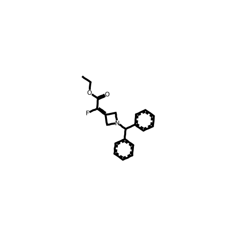 CCOC(=O)C(F)=C1CN(C(c2ccccc2)c2ccccc2)C1